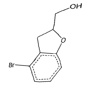 OCC1Cc2c(Br)cccc2O1